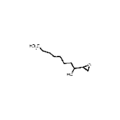 O=C(O)CCCCCCC(O)C1CO1